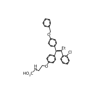 CCC(=C(c1ccc(OCCNC(=O)O)cc1)c1ccc(OCc2ccccc2)cc1)c1ccccc1Cl